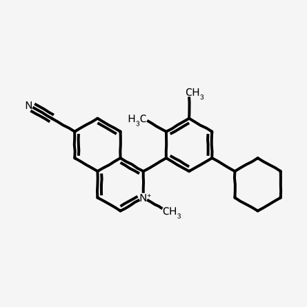 Cc1cc(C2CCCCC2)cc(-c2c3ccc(C#N)cc3cc[n+]2C)c1C